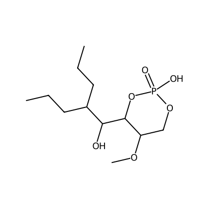 CCCC(CCC)C(O)C1OP(=O)(O)OCC1OC